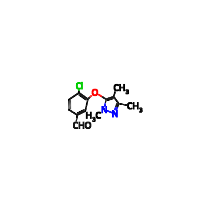 Cc1nn(C)c(Oc2cc(C=O)ccc2Cl)c1C